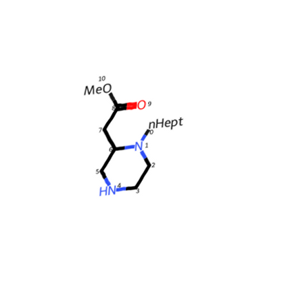 CCCCCCCN1CCNCC1CC(=O)OC